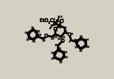 CCOC(=O)C(F)(F)C1(Cl)CC(OCc2ccccc2)[C@H](OCc2ccccc2)C(COCc2ccccc2)O1